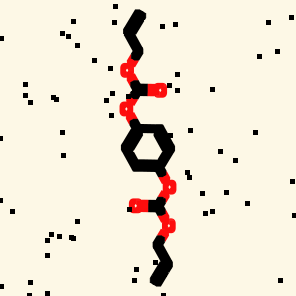 C=CCOC(=O)Oc1ccc(OC(=O)OCC=C)cc1